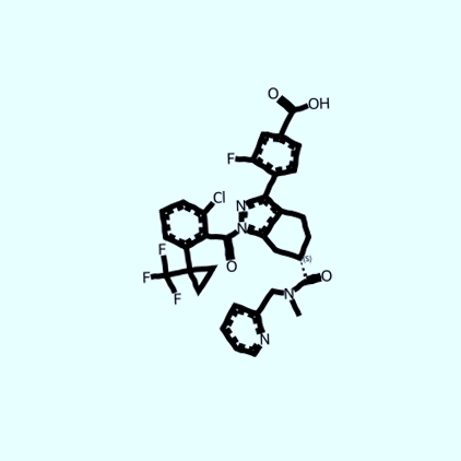 CN(Cc1ccccn1)C(=O)[C@H]1CCc2c(-c3ccc(C(=O)O)cc3F)nn(C(=O)c3c(Cl)cccc3C3(C(F)(F)F)CC3)c2C1